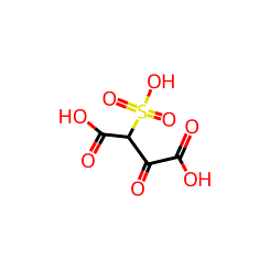 O=C(O)C(=O)C(C(=O)O)S(=O)(=O)O